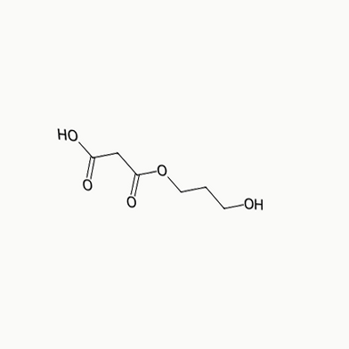 O=C(O)CC(=O)OCCCO